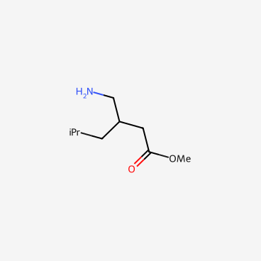 COC(=O)CC(CN)CC(C)C